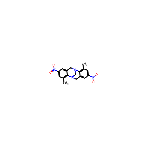 Cc1cc([N+](=O)[O-])cc2c1N1Cc3cc([N+](=O)[O-])cc(C)c3N(C2)C1